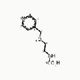 O=C(O)NCCOCc1ccncc1